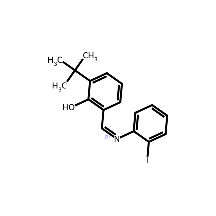 CC(C)(C)c1cccc(/C=N\c2ccccc2I)c1O